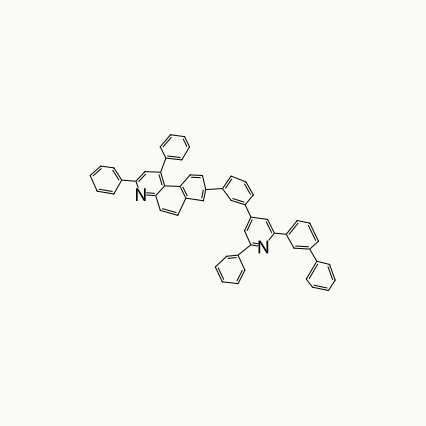 c1ccc(-c2cccc(-c3cc(-c4cccc(-c5ccc6c(ccc7nc(-c8ccccc8)cc(-c8ccccc8)c76)c5)c4)cc(-c4ccccc4)n3)c2)cc1